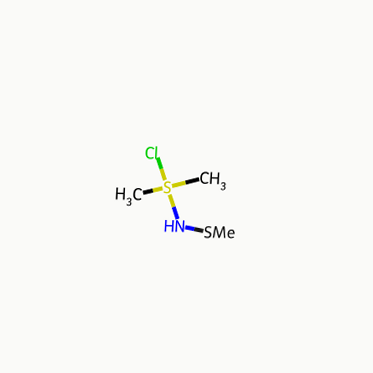 CSNS(C)(C)Cl